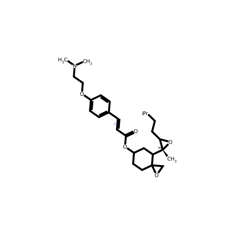 CC(C)CCC1O[C@]1(C)C1CC(OC(=O)/C=C/c2ccc(OCCN(C)C)cc2)CCC12CO2